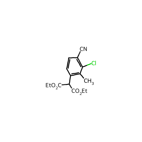 CCOC(=O)C(C(=O)OCC)c1ccc(C#N)c(Cl)c1C